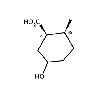 C[C@H]1CCC(O)C[C@H]1C(=O)O